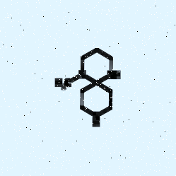 CN1CCCNC12CCNCC2